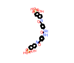 O=C(Nc1ccc(C(=O)N=C2C=CC3C(=CC=C(S(=O)(=O)O)C3O)C2)cc1)Nc1ccc(C(=O)N=C2C=CC3C(=CC=C(S(=O)(=O)O)C3O)C2)cc1